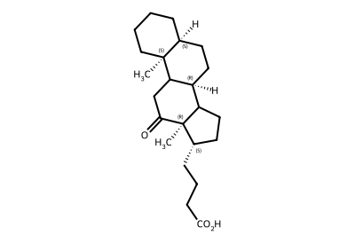 C[C@]12C(=O)CC3[C@@H](CC[C@@H]4CCCC[C@]34C)C1CC[C@@H]2CCCC(=O)O